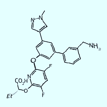 CC[C@@H](Oc1nc(Oc2cc(-c3cccc(CN)c3)cc(-c3cnn(C)c3)c2)c(F)cc1F)C(=O)O